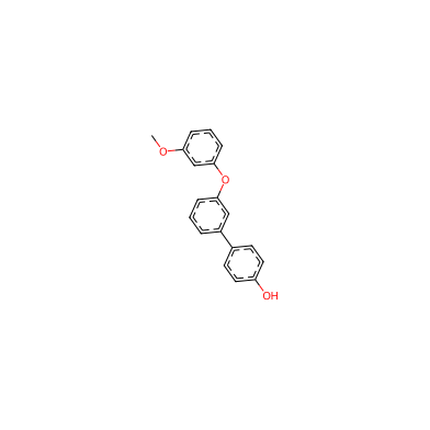 COc1cccc(Oc2cccc(-c3ccc(O)cc3)c2)c1